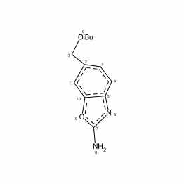 CC(C)COCc1ccc2nc(N)oc2c1